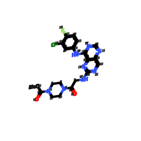 COC(=O)N1CCN(C(=O)CNc2ncc3ncnc(Nc4ccc(F)c(Cl)c4)c3n2)CC1